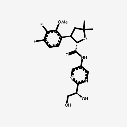 COc1c([C@H]2CC(C)(C)O[C@@H]2C(=O)Nc2cnc([C@@H](O)CO)nc2)ccc(F)c1F